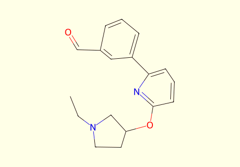 CCN1CCC(Oc2cccc(-c3cccc(C=O)c3)n2)C1